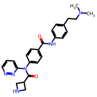 CN(C)CCc1ccc(NC(=O)c2ccc(N(C(=O)C3CNC3)c3cccnn3)cc2)cc1